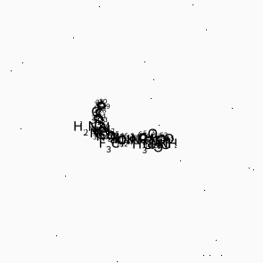 CN(C(=O)c1ccc(N2CC(N3CCC(N4CCC(n5nc(-c6ccc(Oc7ccccc7)cc6)c6c(N)ncnc65)CC4)(C(F)(F)F)CC3)C2)cc1C=O)C1CCC(=O)NC1=O